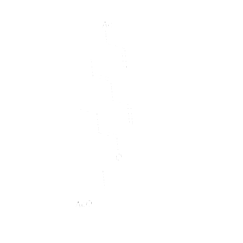 CC(=O)OCCOc1cc(C)c(-c2ccc(C(C)=O)cc2)c(C)c1